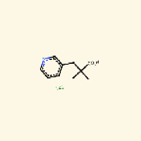 CC(C)(Cc1cccnc1)C(=O)O.Cl